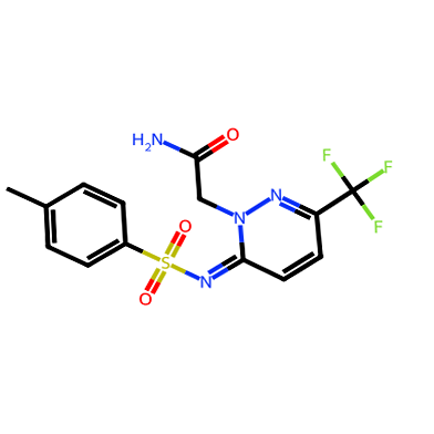 Cc1ccc(S(=O)(=O)N=c2ccc(C(F)(F)F)nn2CC(N)=O)cc1